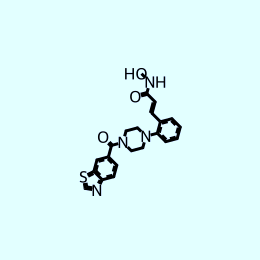 O=C(C=Cc1ccccc1N1CCN(C(=O)c2ccc3ncsc3c2)CC1)NO